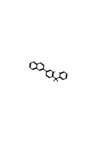 CC1(C)c2ccccc2Oc2cc(-c3ccc4ccccc4c3)ccc21